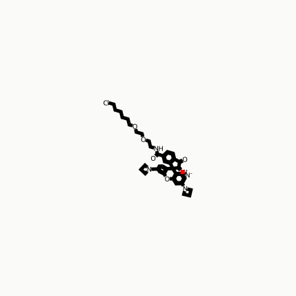 [N-]=[N+]=C1C(=O)c2ccc(C(=O)NCCOCCOCCCCCCCl)cc2C12c1ccc(N3CCC3)cc1Oc1cc(N3CCC3)ccc12